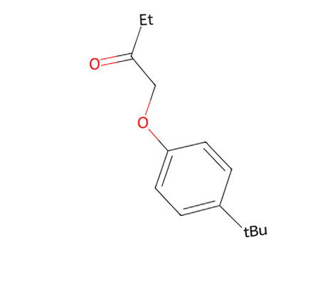 CCC(=O)COc1ccc(C(C)(C)C)cc1